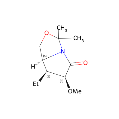 CC[C@@H]1[C@H](OC)C(=O)N2[C@@H]1COC2(C)C